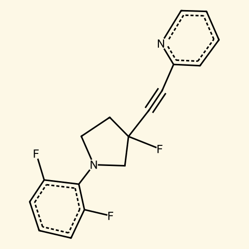 Fc1cccc(F)c1N1CCC(F)(C#Cc2ccccn2)C1